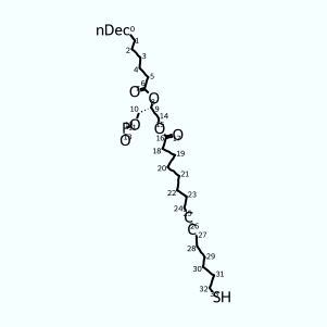 CCCCCCCCCCCCCCCC(=O)O[C@@H](COP=O)COC(=O)CCCCCCCCCCCCCCCS